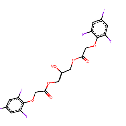 O=C(COc1c(I)cc(I)cc1I)OCC(O)COC(=O)COc1c(I)cc(I)cc1I